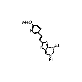 CCN1C=C2N=C(/C=C/c3ccc(OC)nc3)N=C2N(CC)C1